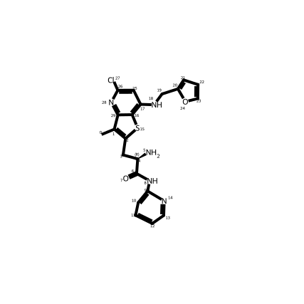 Cc1c(C[C@@H](N)C(=O)Nc2ccccn2)sc2c(NCc3ccco3)cc(Cl)nc12